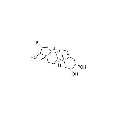 C[C@]12CC[C@H]3C(=CC=C4C[C@@H](O)[C@H](O)C[C@@]43C)[C@@H]1C[C@@H](F)[C@@H]2O